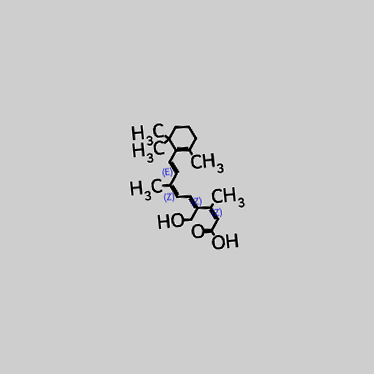 CC1=C(/C=C/C(C)=C\C=C(CO)\C(C)=C/C(=O)O)C(C)(C)CCC1